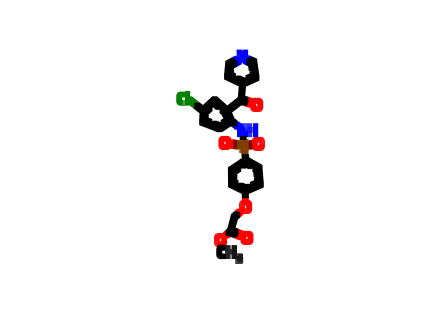 COC(=O)COc1ccc(S(=O)(=O)Nc2ccc(Cl)cc2C(=O)c2ccncc2)cc1